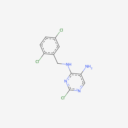 Nc1cnc(Cl)nc1NCc1cc(Cl)ccc1Cl